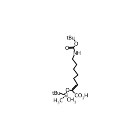 CC(C)(C)OC(=O)NCCCCCC=C(O[Si](C)(C)C(C)(C)C)C(=O)O